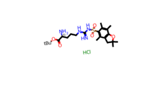 Cc1c(C)c(S(=O)(=O)NC(=N)NCCC[C@H](N)C(=O)OC(C)(C)C)c(C)c2c1OC(C)(C)C2.Cl